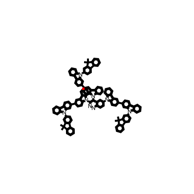 CC1(C)c2ccccc2-c2ccc(-n3c4ccccc4c4ccc(-c5ccc6c(c5)c5ccccc5n6-c5ccc6nnc(-n7c8ccccc8c8cc(-c9ccc%10c%11ccccc%11n(-c%11ccc%12c(c%11)C(C)(C)c%11ccccc%11-%12)c%10c9)ccc87)c(-n7c8ccccc8c8cc(-c9ccc%10c%11ccccc%11n(-c%11ccc%12c(c%11)C(C)(C)c%11ccccc%11-%12)c%10c9)ccc87)c6c5)cc43)cc21